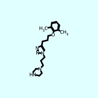 Cc1cccc(C)c1OCCCc1cn(CCCN2CCNCC2)nn1